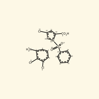 Nc1cccc(Cl)c1Cl.O=C(O)c1cc(Cl)nn1S(=O)(=O)c1ccccc1